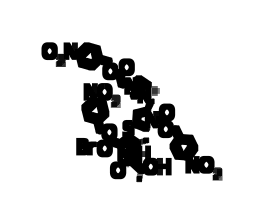 C[C@@H](O)[C@H]1C(=O)N2C(C(=O)OCc3ccc([N+](=O)[O-])cc3)=C(S[C@H]3C[C@@H](C[n+]4ccn(CC(=O)OCc5ccc([N+](=O)[O-])cc5)c4)N(C(=O)OCc4ccc([N+](=O)[O-])cc4)C3)[C@H](C)[C@H]12.[Br-]